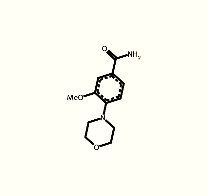 COc1cc(C(N)=O)ccc1N1CCOCC1